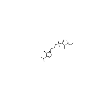 CCN1CC=C(C(C)(C)CCCN2CC=C(C(C)C)[C@H]2C)[C@@H]1C